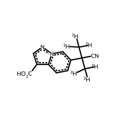 [2H]C([2H])([2H])C(C#N)(c1ccc2c(C(=O)O)cnn2c1)C([2H])([2H])[2H]